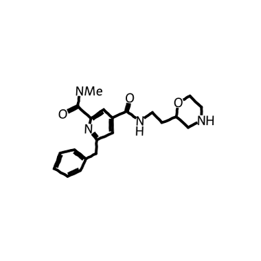 CNC(=O)c1cc(C(=O)NCCC2CNCCO2)cc(Cc2ccccc2)n1